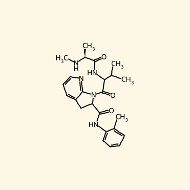 CN[C@@H](C)C(=O)NC(C(=O)N1c2ncccc2CC1C(=O)Nc1ccccc1C)C(C)C